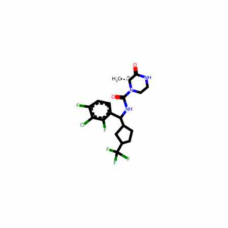 C[C@@H]1C(=O)NCCN1C(=O)NC(c1ccc(F)c(Cl)c1F)C1CCC(C(F)(F)F)C1